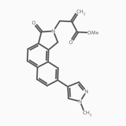 C=C(CN1Cc2c(ccc3ccc(-c4cnn(C)c4)cc23)C1=O)C(=O)OC